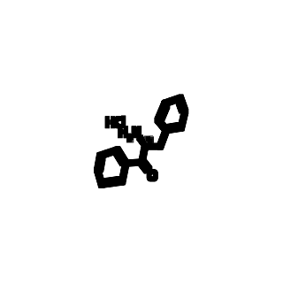 Cl.N[C@@H](Cc1ccccc1)C(=O)c1ccccc1